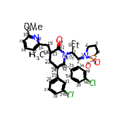 CC[C@@H](CN1CCCS1(=O)=O)N1C(=O)[C@](C)(Cc2cccc(OC)n2)C[C@H](c2cccc(Cl)c2)[C@H]1c1ccc(Cl)cc1